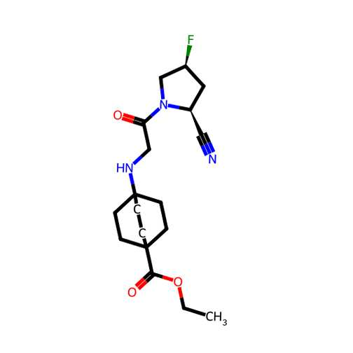 CCOC(=O)C12CCC(NCC(=O)N3C[C@@H](F)C[C@H]3C#N)(CC1)CC2